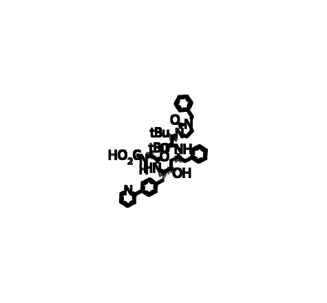 CC(C)(C)[C@H](NC(=O)O)C(=O)N[C@@H](Cc1ccc(-c2ccccn2)cc1)[C@H](O)C[C@H](Cc1ccccc1)NC(=O)[C@@H](N1CCN(Cc2ccccc2)C1=O)C(C)(C)C